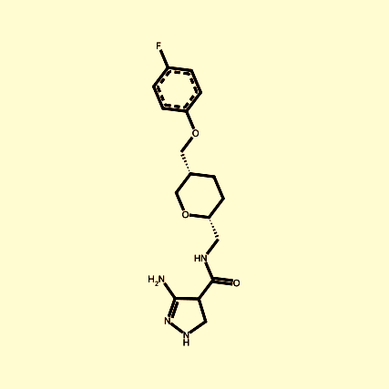 NC1=NNCC1C(=O)NC[C@H]1CC[C@@H](COc2ccc(F)cc2)CO1